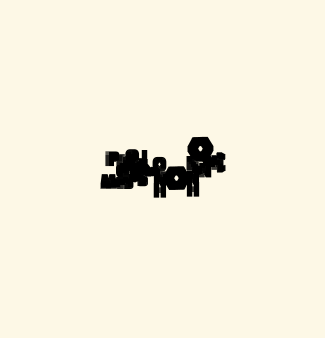 CSc1sc(C(=O)NC2CCC(Nc3nc4c(c(N(C)C)n3)CCCC4)CC2)c(I)c1S(=O)(=O)C(C)C